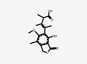 COc1c(C)c2c(c(O)c1/C(C)=C(\C)C(C)C(=O)O)C(=O)OC2